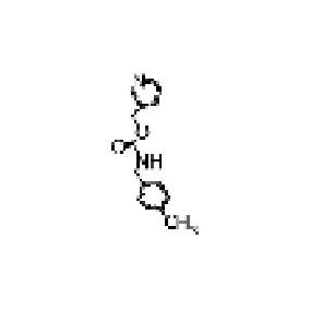 Cc1ccc(CNC(=O)OCc2cccnc2)cc1